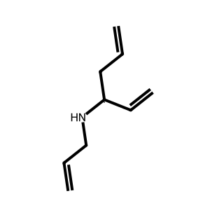 C=CCN[C](C=C)CC=C